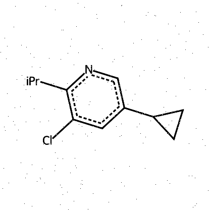 CC(C)c1ncc(C2CC2)cc1Cl